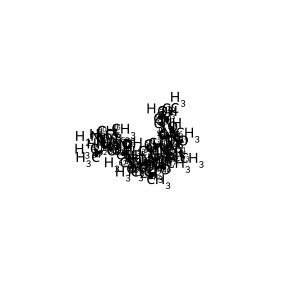 CC(C)C[C@H](NC(=O)[C@@H]1CCCN1C(=O)[C@H](C)NC(=O)[C@H](CC(C)C)NC(=O)[C@H](CC(C)C)NC(=O)[C@H](C)NC(=O)[C@H](CC(C)C)NC(=O)[C@H](CC(C)C)NC(=O)[C@@H](NC(=O)[C@H](C)NC(=O)[C@@H]1CCCN1C(=O)[C@H](CC(C)C)NC(=O)[C@H](CC(C)C)NC(=O)[C@H](C)N)C(C)C)C(=O)O